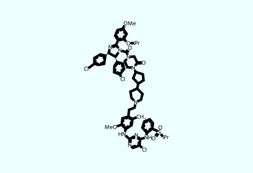 COc1ccc(C2=N[C@@H](c3ccc(Cl)cc3)[C@@H](c3ccc(Cl)cc3)N2C(=O)N2CCN(C3CCC(C4CCN(CCc5cc(OC)c(Nc6ncc(Cl)c(Nc7ccccc7S(=O)(=O)C(C)C)n6)cc5C)CC4)C3)C(=O)C2)c(OC(C)C)c1